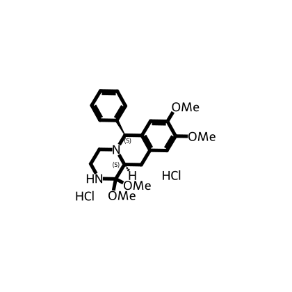 COc1cc2c(cc1OC)[C@H](c1ccccc1)N1CCNC(OC)(OC)[C@@H]1C2.Cl.Cl